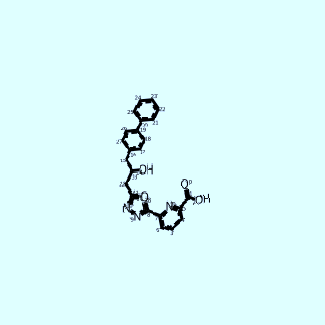 O=C(O)c1cccc(-c2nnc(CC(O)Cc3ccc(-c4ccccc4)cc3)o2)n1